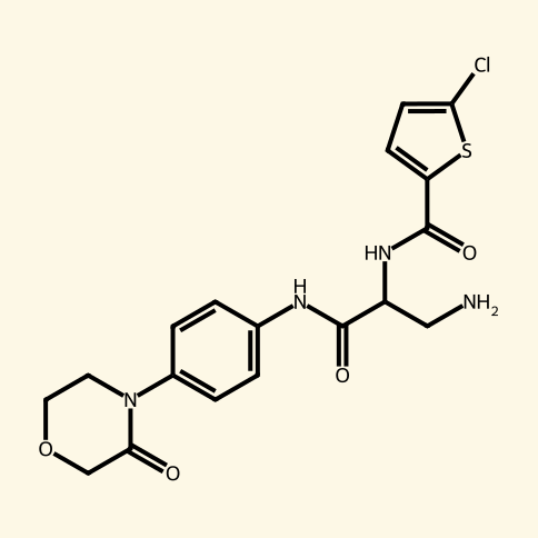 NCC(NC(=O)c1ccc(Cl)s1)C(=O)Nc1ccc(N2CCOCC2=O)cc1